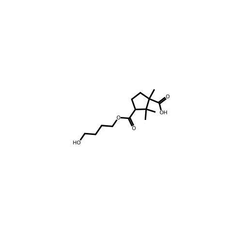 CC1(C(=O)O)CCC(C(=O)OCCCCO)C1(C)C